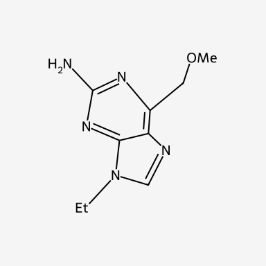 CCn1cnc2c(COC)nc(N)nc21